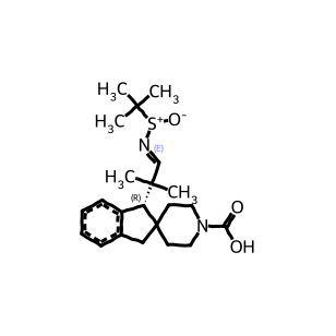 CC(C)(/C=N/[S+]([O-])C(C)(C)C)[C@H]1c2ccccc2CC12CCN(C(=O)O)CC2